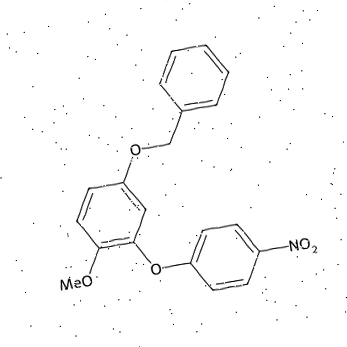 COc1ccc(OCc2ccccc2)cc1Oc1ccc([N+](=O)[O-])cc1